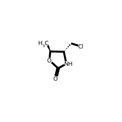 C[C@@H]1OC(=O)N[C@H]1CCl